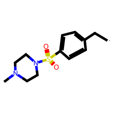 [CH2]Cc1ccc(S(=O)(=O)N2CCN(C)CC2)cc1